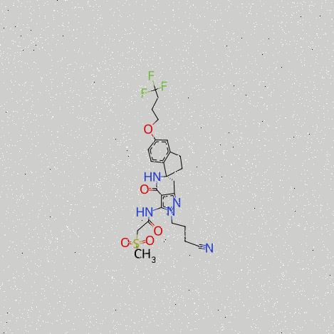 CS(=O)(=O)CC(=O)Nc1c2c(nn1CCCC#N)C[C@]1(CCc3cc(OCCCC(F)(F)F)ccc31)NC2=O